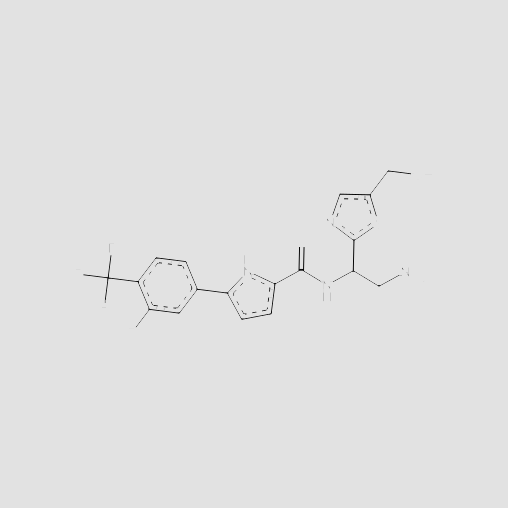 NCC(NC(=O)c1ccc(-c2ccc(C(F)(F)F)c(F)c2)[nH]1)c1ncc(CO)s1